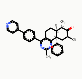 Cc1nc(-c2ccc(-c3ccncc3)cc2)c2c(n1)[C@]1(c3ccccc3)CC(C#N)C(=O)[C@@H](C)[C@@H]1CC2